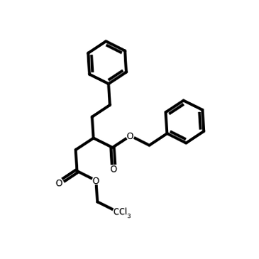 O=C(CC(CCc1ccccc1)C(=O)OCc1ccccc1)OCC(Cl)(Cl)Cl